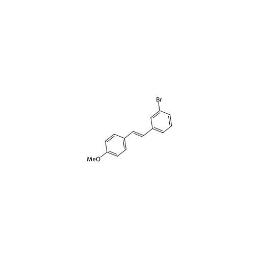 COc1ccc(C=Cc2cccc(Br)c2)cc1